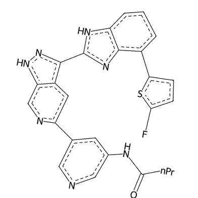 CCCC(=O)Nc1cncc(-c2cc3c(-c4nc5c(-c6ccc(F)s6)cccc5[nH]4)n[nH]c3cn2)c1